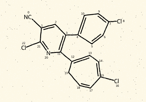 N#Cc1cc(-c2ccc(Cl)cc2)c(C2=CC=C(Cl)C=CC2)nc1Cl